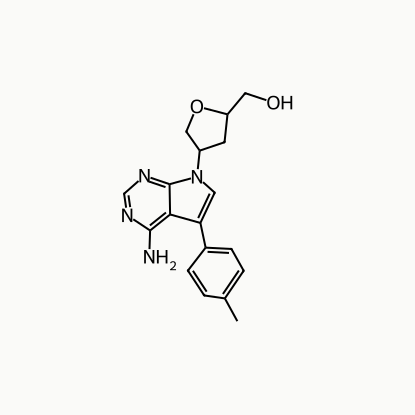 Cc1ccc(-c2cn(C3COC(CO)C3)c3ncnc(N)c23)cc1